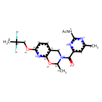 CC(=O)Nc1nc(C)cc(C(=O)N2Cc3ccc(OCC(C)(F)F)nc3OC2C)n1